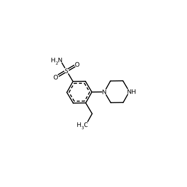 CCc1ccc(S(N)(=O)=O)cc1N1CCNCC1